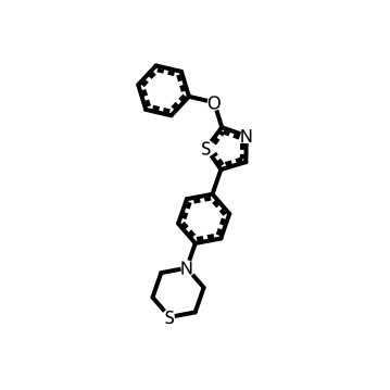 c1ccc(Oc2ncc(-c3ccc(N4CCSCC4)cc3)s2)cc1